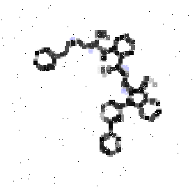 C=c1/c(=C\C=C(/C)c2ccccc2N/C(N)=C/C=C\CC2=CCCC=C2)n(-c2cccc(-c3ccccc3)n2)c2ccccc12